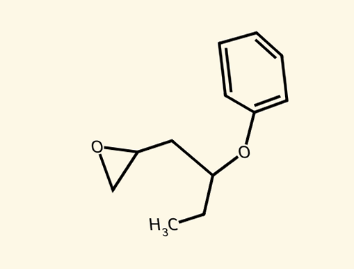 CCC(CC1CO1)Oc1ccccc1